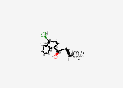 CCOC(=O)/C=C/C(=O)c1ccc(Cl)c2ccccc12